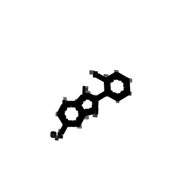 O=[N+]([O-])c1cnc2[nH]c(-c3ccccc3F)nc2c1